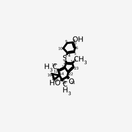 CC1=C(SC2=CC=C(O)CC2)C2=C(C)C3(CC3)[C@@](C)(O)C(=O)C2=C1